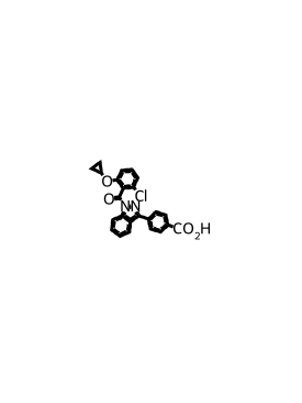 O=C(O)c1ccc(-c2nn(C(=O)c3c(Cl)cccc3OC3CC3)c3ccccc23)cc1